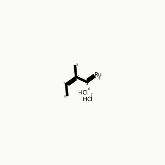 CC=C(C)[CH]=[Ru].Cl.Cl